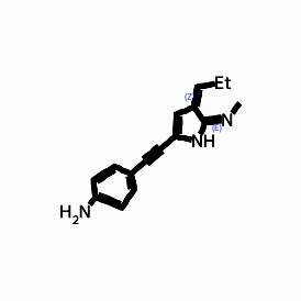 CC/C=C1/C=C(C#Cc2ccc(N)cc2)N/C1=N/C